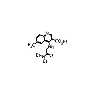 CCOC(=O)c1cnc2ccc(C(F)(F)F)cc2c1NCC(=O)N(CC)CC